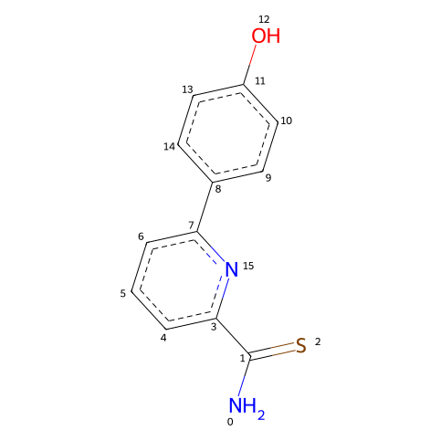 NC(=S)c1cccc(-c2ccc(O)cc2)n1